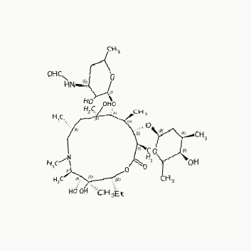 CC[C@H]1OC(=O)[C@H](C)[C@@H](O[C@H]2C[C@@H](C)[C@@H](O)C(C)O2)[C@H](C)[C@@H](O[C@@H]2OC(C)C[C@H](NC=O)C2O)[C@](C)(O)C[C@@H](C)CN(C)[C@H](C)[C@@H](O)[C@]1(C)O